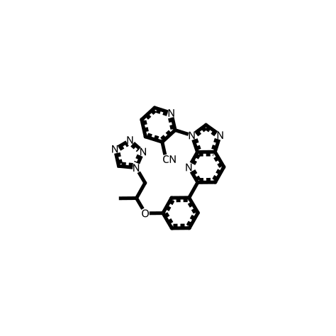 CC(Cn1cnnn1)Oc1cccc(-c2ccc3ncn(-c4ncccc4C#N)c3n2)c1